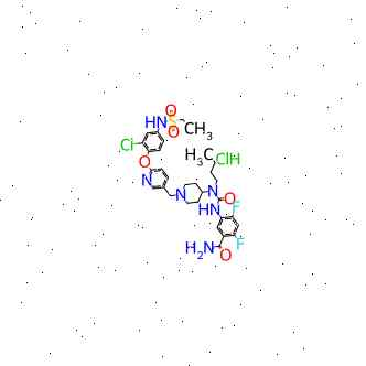 CCCCN(C(=O)Nc1cc(C(N)=O)c(F)cc1F)C1CCN(Cc2ccc(Oc3ccc(NS(=O)(=O)CC)cc3Cl)nc2)CC1.Cl